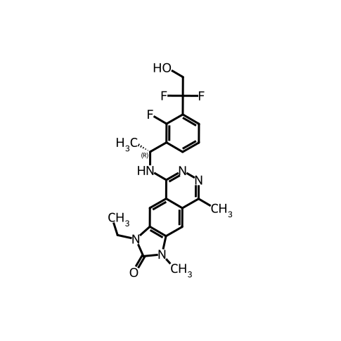 CCn1c(=O)n(C)c2cc3c(C)nnc(N[C@H](C)c4cccc(C(F)(F)CO)c4F)c3cc21